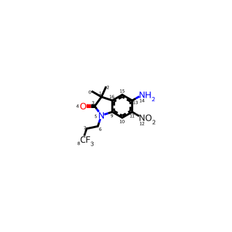 CC1(C)C(=O)N(CCC(F)(F)F)c2cc([N+](=O)[O-])c(N)cc21